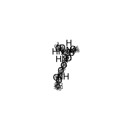 CC(C)(C)OC(=O)Nc1cc(NC(=O)OC(C)(C)C)cc(C(=O)NCCOCCOCCNC(=O)OCc2ccccc2)c1